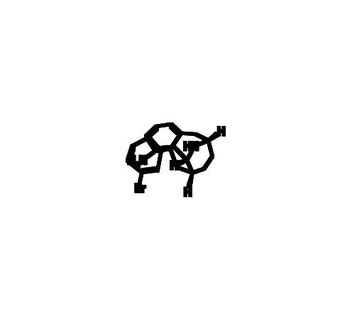 Nc1cccc2c1C[C@H]1CC[C@@H](C2)N[C@H]1Cc1cccc(Br)c1